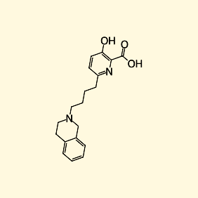 O=C(O)c1nc(CCCCN2CCc3ccccc3C2)ccc1O